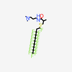 CC(CSC(F)CC(F)(F)C(F)(F)C(F)(F)C(F)(F)C(F)(F)C(F)(F)C(F)(F)C(F)(F)F)C(=O)NCCCN(C)C